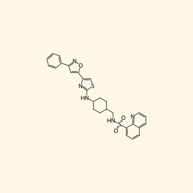 O=S(=O)(NCC1CCC(Nc2nc(-c3cc(-c4ccccc4)no3)cs2)CC1)c1cccc2cccnc12